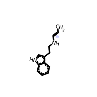 C/C=C/NCCc1c[nH]c2ccccc12